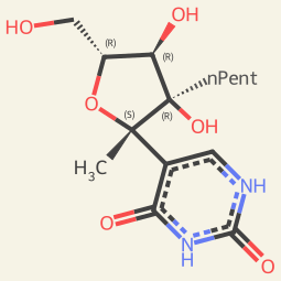 CCCCC[C@@]1(O)[C@H](O)[C@@H](CO)O[C@@]1(C)c1c[nH]c(=O)[nH]c1=O